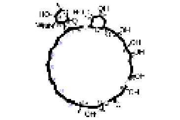 CO[C@]12C[C@@H](O)C[C@@H](O)[C@H](O)CC[C@@H](O)C[C@@H](O)CC(=O)O[C@@H](C)[C@H](C)[C@H](O)[C@@H](C)/C=C/C=C/C=C/C=C/C=C/C=C/C=C/[C@H](O[C@@H]3O[C@H](C)[C@@H](O)[C@H](N=[N+]=[N-])C3O)CC(O1)[C@H](C(=O)O)[C@@H](O)C2